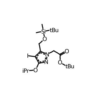 CC(C)Oc1nn(CC(=O)OC(C)(C)C)c(CO[Si](C)(C)C(C)(C)C)c1I